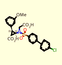 COc1cccc([C@@H]2C[C@]2(C(=O)O)N(CC(=O)O)S(=O)(=O)c2ccc(-c3ccc(Cl)cc3)cc2)c1